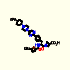 CCC[C@H]1CC[C@H](N2CCN(c3cnc(-c4ccc(C[C@H](NC(=O)c5ccc(C(C)(C)C)s5)C(=O)N5CC(C(=O)O)C5)cc4)nc3)CC2)CC1